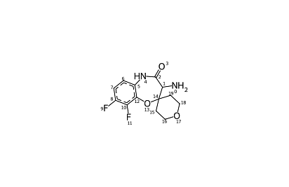 NC1C(=O)Nc2ccc(F)c(F)c2OC12CCOCC2